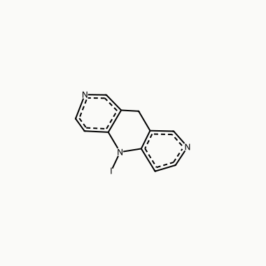 IN1c2ccncc2Cc2cnccc21